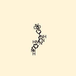 CN(C)S(=O)(=O)N1CC=C(c2cc3c(Nc4ccc5[nH]ncc5c4)ncnc3[nH]2)CC1